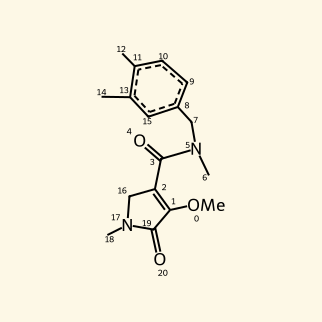 COC1=C(C(=O)N(C)Cc2ccc(C)c(C)c2)CN(C)C1=O